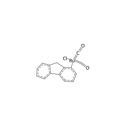 O=[C]=[Ru]([Cl])(=[C]=O)[c]1cccc2c1Cc1ccccc1-2